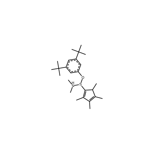 CC1=C(C)C(C)[C]([Ti]([O]c2cc(C(C)(C)C)cc(C(C)(C)C)c2)[SiH](C)C)=C1C